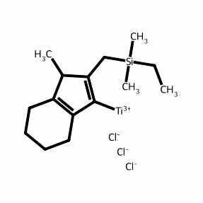 CC[Si](C)(C)CC1=[C]([Ti+3])C2=C(CCCC2)C1C.[Cl-].[Cl-].[Cl-]